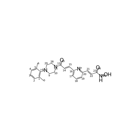 Cc1cccc(C)c1N1CCN(C(=O)/C=C/c2cccc(/C=C/C(=O)NO)n2)CC1